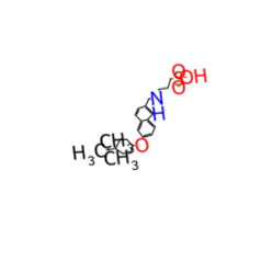 CC(C)(C)C1CCC(Oc2ccc3cc(CNCCCS(=O)(=O)O)ccc3c2)CC1